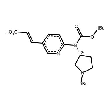 CCCCN1CC[C@@H](N(C(=O)OC(C)(C)C)c2ccc(C=CC(=O)O)cn2)C1